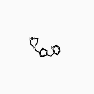 c1ccc(Cc2ccc(CN3CCNCC3)cc2)nc1